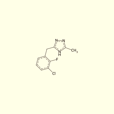 Cc1nnc(Cc2cccc(Cl)c2F)[nH]1